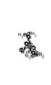 C=CC[C@H](C(=O)N1CCCC[C@H]1C(=O)O[C@H](CCc1ccc(OC)c(OC)c1)c1cccc(OCCN2CCOCC2)c1)c1cc(OC)c(OC)c(OC)c1